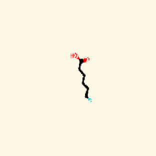 O=C(O)CCCCCF